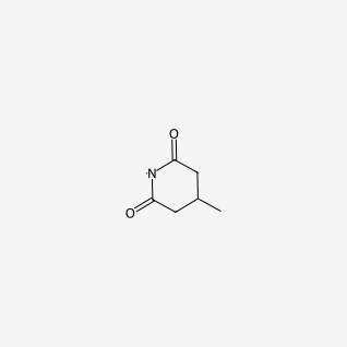 CC1CC(=O)[N]C(=O)C1